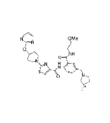 COCCNC(=O)c1cc(CN2CC[C@H](C)C2)ccc1NC(=O)c1csc(N2CCC(Oc3ncccn3)CC2)n1